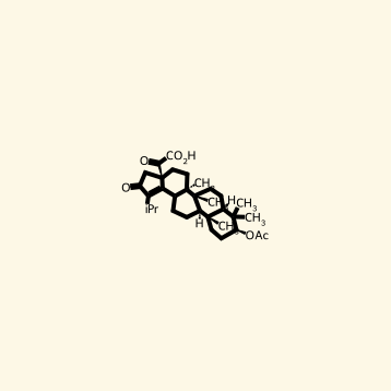 CC(=O)O[C@H]1CC[C@]2(C)[C@H]3CCC4C5=C(C(C)C)C(=O)C[C@]5(C(=O)C(=O)O)CC[C@@]4(C)[C@]3(C)CC[C@H]2C1(C)C